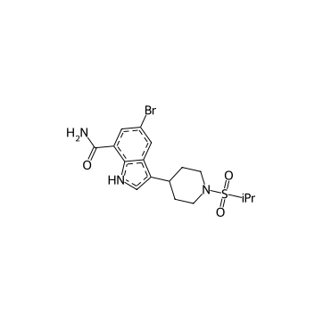 CC(C)S(=O)(=O)N1CCC(c2c[nH]c3c(C(N)=O)cc(Br)cc23)CC1